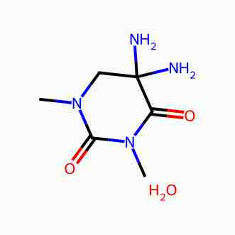 CN1CC(N)(N)C(=O)N(C)C1=O.O